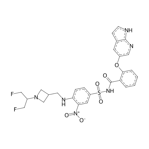 O=C(NS(=O)(=O)c1ccc(NCC2CN(C(CF)CF)C2)c([N+](=O)[O-])c1)c1ccccc1Oc1cnc2[nH]ccc2c1